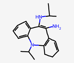 CC(C)NC1=C(N)C2=C(CCC=C2)N(C(C)C)c2ccccc21